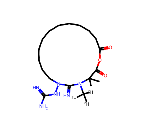 [2H]C([2H])([2H])N1C(=N)N(NC(=N)N)CCCCCCCCCCCC(=O)OC(=O)C1(C)C